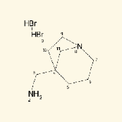 Br.Br.NCC12CCCN(CC1)C2